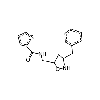 O=C(NCC1CC(Cc2ccccc2)NO1)c1cccs1